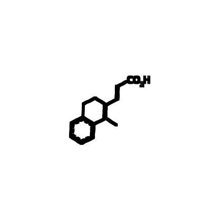 CC1=C(C=CC(=O)O)CCc2ccccc21